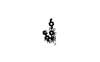 CCC1CCC(COc2ccc(-n3nnnc3-c3cc(-c4cccs4)cnc3N)c(F)c2F)CC1